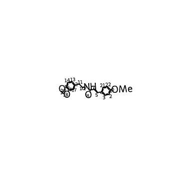 COc1ccc(C=CC(=O)NCCc2ccc3c(c2)OCO3)cc1